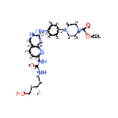 C[C@H](CCO)CCNC(=O)Nc1ccc2cnc(Nc3ccc(N4CCN(C(=O)OC(C)(C)C)CC4)cc3)nc2n1